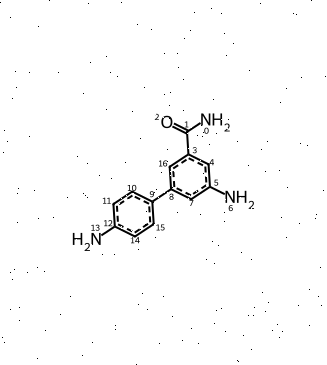 NC(=O)c1cc(N)cc(-c2ccc(N)cc2)c1